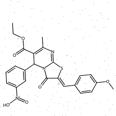 CCOC(=O)C1=C(C)N=c2s/c(=C\c3ccc(OC)cc3)c(=O)n2C1c1cccc([N+](=O)O)c1